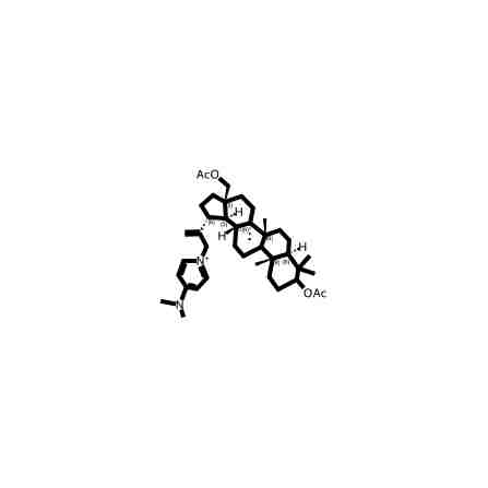 C=C(C[n+]1ccc(N(C)C)cc1)[C@@H]1CC[C@]2(COC(C)=O)CC[C@]3(C)[C@H](CCC4[C@@]5(C)CCC(OC(C)=O)C(C)(C)[C@@H]5CC[C@]43C)[C@@H]12